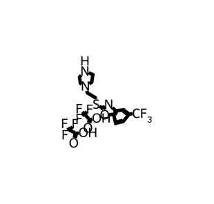 FC(F)(F)c1ccc2oc(SCCN3CCNCC3)nc2c1.O=C(O)C(F)(F)F.O=C(O)C(F)(F)F